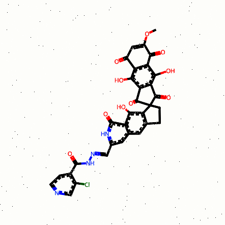 COC1=CC(=O)c2c(O)c3c(c(O)c2C1=O)C(=O)C1(CCc2cc4cc(C=NNC(=O)c5ccncc5Cl)[nH]c(=O)c4c(O)c21)C3=O